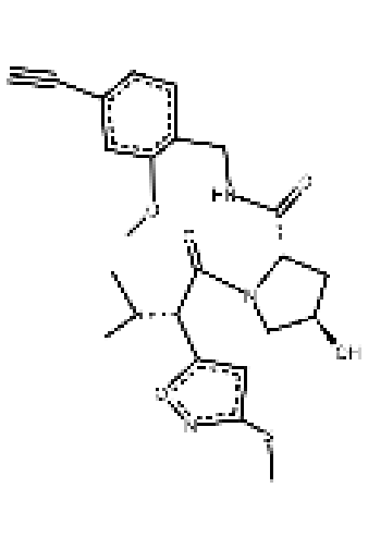 C#Cc1ccc(CNC(=O)[C@@H]2C[C@@H](O)CN2C(=O)[C@H](c2cc(SC)no2)C(C)C)c(OC)c1